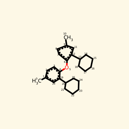 Cc1ccc(Oc2ccc(C)cc2C2CCCCC2)c(C2CCCCC2)c1